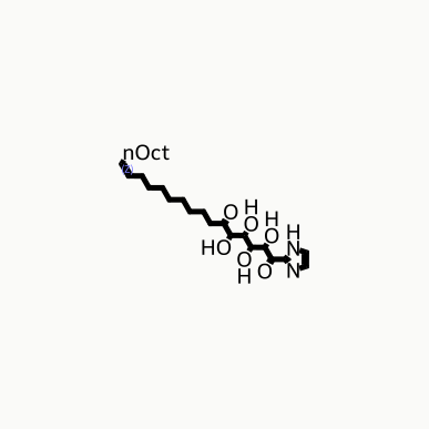 CCCCCCCC/C=C\CCCCCCCCC(=O)C(O)C(O)C(O)C(O)C(=O)c1ncc[nH]1